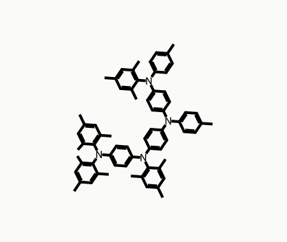 Cc1ccc(N(c2ccc(N(c3ccc(C)cc3)c3c(C)cc(C)cc3C)cc2)c2ccc(N(c3ccc(N(c4c(C)cc(C)cc4C)c4c(C)cc(C)cc4C)cc3)c3c(C)cc(C)cc3C)cc2)cc1